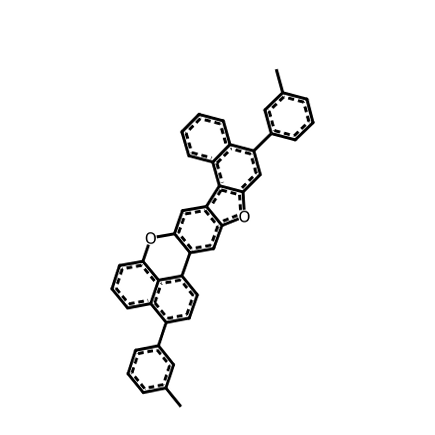 Cc1cccc(-c2ccc3c4c(cccc24)Oc2cc4c(cc2-3)oc2cc(-c3cccc(C)c3)c3ccccc3c24)c1